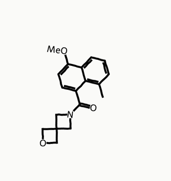 COc1ccc(C(=O)N2CC3(COC3)C2)c2c(C)cccc12